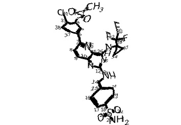 CS(=O)(=O)c1cc(-c2ccc3nc(NCc4ccc(S(N)(=O)=O)cc4)nc(NC4(C(F)(F)F)CC4)c3n2)ccc1Cl